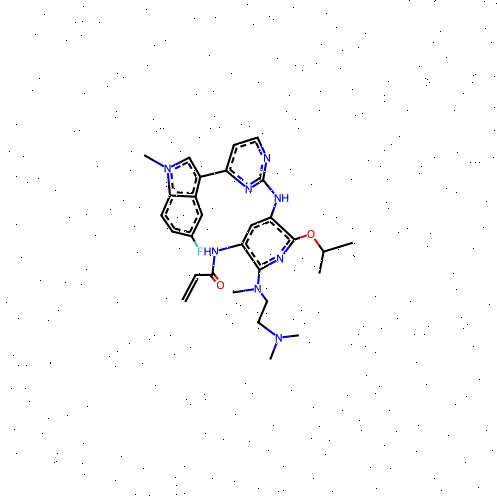 C=CC(=O)Nc1cc(Nc2nccc(-c3cn(C)c4ccc(F)cc34)n2)c(OC(C)C)nc1N(C)CCN(C)C